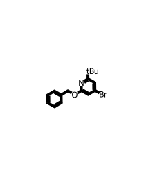 CC(C)(C)c1cc(Br)cc(OCc2ccccc2)n1